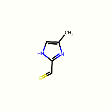 Cc1c[nH]c(C=S)n1